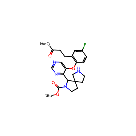 COC(=O)CCc1cc(F)ccc1Oc1cncnc1C1N(C(=O)OC(C)(C)C)CCC12CCNC2